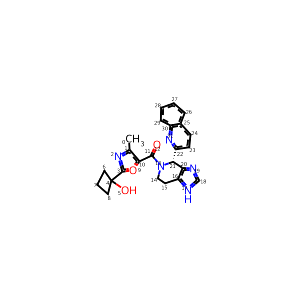 Cc1nc(C2(O)CCC2)oc1C(=O)N1CCc2[nH]cnc2[C@H]1c1ccc2ccccc2n1